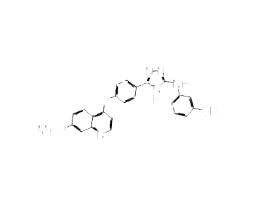 COc1ccc2c(Oc3ccc(-c4nnc(Nc5cccc(C)c5)[nH]4)cc3)ccnc2c1